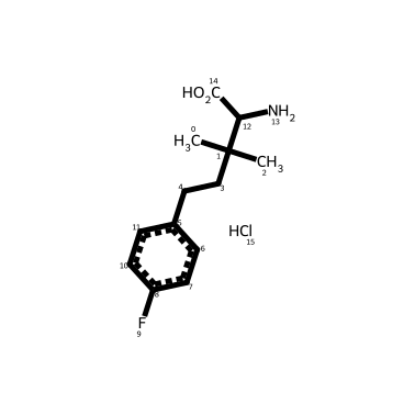 CC(C)(CCc1ccc(F)cc1)C(N)C(=O)O.Cl